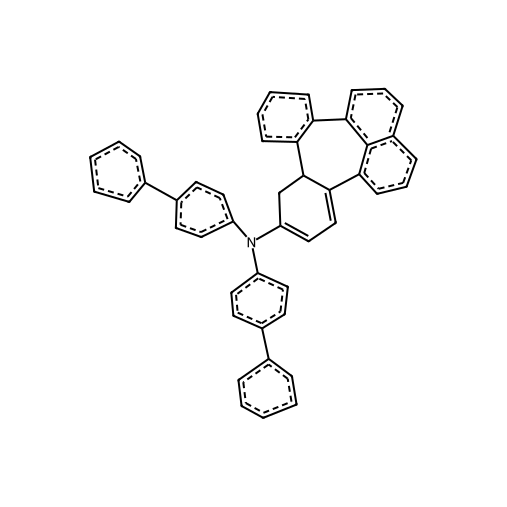 C1=C2c3cccc4cccc(c34)-c3ccccc3C2CC(N(c2ccc(-c3ccccc3)cc2)c2ccc(-c3ccccc3)cc2)=C1